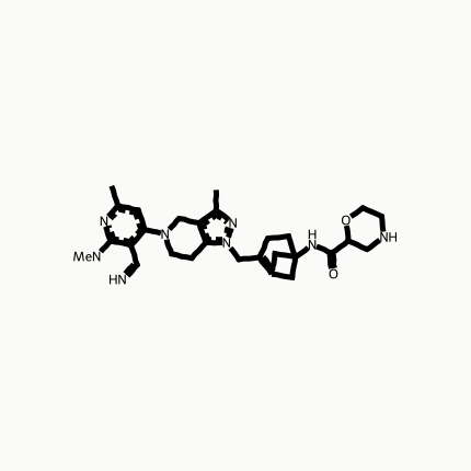 CNc1nc(C)cc(N2CCc3c(c(C)nn3CC3=C4CC(NC(=O)C5CNCCO5)(CC3)C4)C2)c1C=N